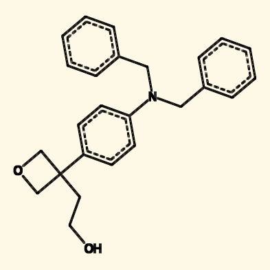 OCCC1(c2ccc(N(Cc3ccccc3)Cc3ccccc3)cc2)COC1